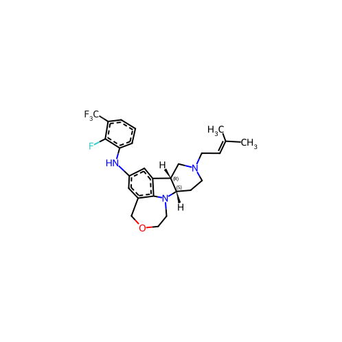 CC(C)=CCN1CC[C@H]2[C@@H](C1)c1cc(Nc3cccc(C(F)(F)F)c3F)cc3c1N2CCOC3